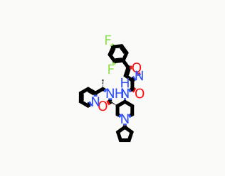 C[C@H](NC(=O)[C@H]1CN(C2CCCC2)CC[C@@H]1NC(=O)c1cc(-c2ccc(F)cc2F)on1)c1ccccn1